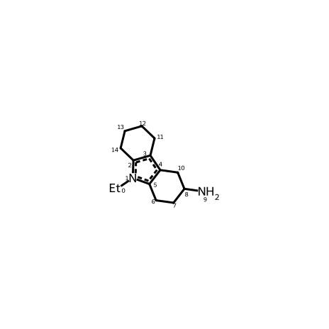 CCn1c2c(c3c1CCC(N)C3)CCCC2